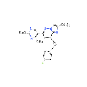 CCOC(=O)c1cn2nc(-c3cnc(OC)nc3OC)cc(C3CC3c3ccc(F)cc3)c2n1